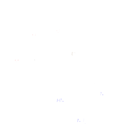 CCOC(=O)CC1(c2ccc(Nc3c(N)cnc4ccc(Br)cc34)cc2)COC1